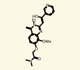 C=C1c2ccc(OCC(=O)N(C)C)c(OC)c2N=C(/C=C(\O)c2cccnc2)N1CC